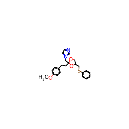 COc1ccc(CCC2(Cn3ccnc3)OCC(CSc3ccccc3)O2)cc1